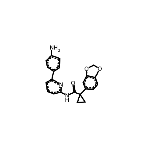 Nc1ccc(-c2cccc(NC(=O)C3(c4ccc5c(c4)OCO5)CC3)n2)cc1